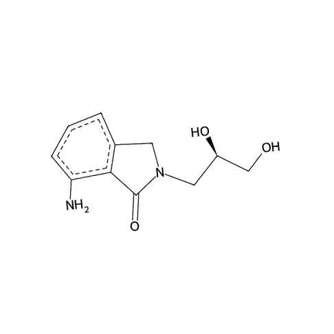 Nc1cccc2c1C(=O)N(C[C@@H](O)CO)C2